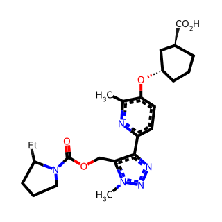 CCC1CCCN1C(=O)OCc1c(-c2ccc(O[C@H]3CCC[C@H](C(=O)O)C3)c(C)n2)nnn1C